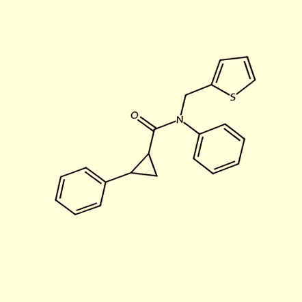 O=C(C1CC1c1ccccc1)N(Cc1cccs1)c1ccccc1